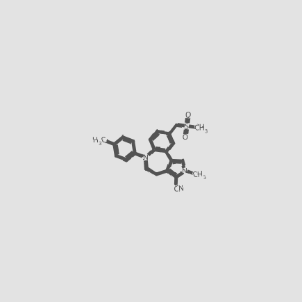 Cc1ccc(N2CCc3c(cn(C)c3C#N)-c3cc(CS(C)(=O)=O)ccc32)cc1